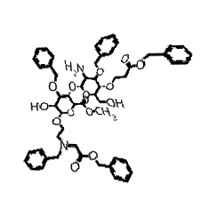 COC(=O)C1O[C@@H](OCCN(CC(=O)OCc2ccccc2)Cc2ccccc2)[C@@H](O)C(OCc2ccccc2)[C@@H]1O[C@H]1OC(CO)[C@@H](OCCC(=O)OCc2ccccc2)C(OCc2ccccc2)C1N